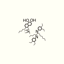 CCCCCCC(=Nc1ccc(CC)c(CC)c1)C(CCCC)=Nc1ccc(CC)c(CC)c1.CCCCCc1ccc2c(O)c(O)ccc2c1C[Si](CC)(CC)CC